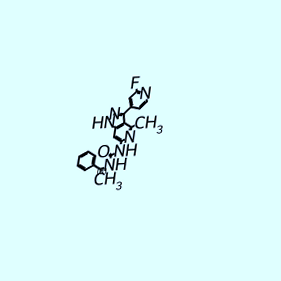 Cc1nc(NC(=O)N[C@H](C)c2ccccc2)cc2[nH]nc(-c3ccnc(F)c3)c12